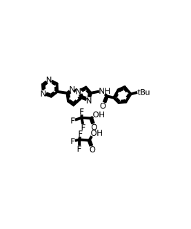 CC(C)(C)c1ccc(C(=O)Nc2cn3nc(-c4cncnc4)ccc3n2)cc1.O=C(O)C(F)(F)F.O=C(O)C(F)(F)F